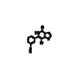 N#Cc1cccc(-c2[nH]c(=O)c3ccsc3c2Br)c1